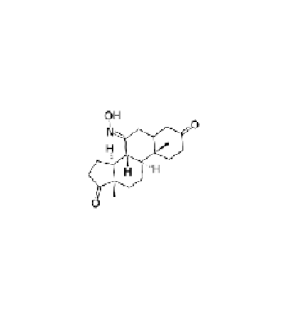 C[C@]12CCC(=O)CC1CC(=NO)[C@@H]1[C@@H]2CC[C@]2(C)C(=O)CC[C@@H]12